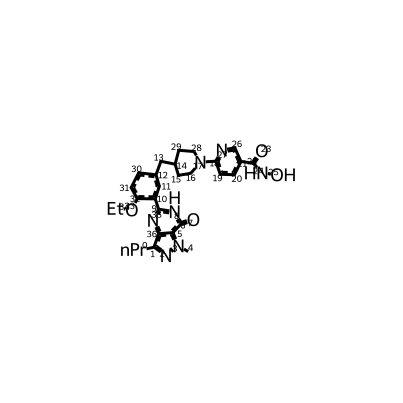 CCCc1nn(C)c2c(=O)[nH]c(-c3cc(CC4CCN(c5ccc(C(=O)NO)cn5)CC4)ccc3OCC)nc12